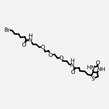 O=C(CCCCCBr)NCCCOCCOCCOCCCNC(=O)CCCCC1SCC2NC(=O)NC21